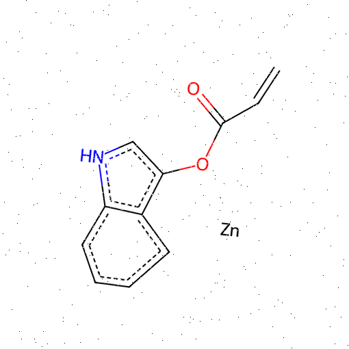 C=CC(=O)Oc1c[nH]c2ccccc12.[Zn]